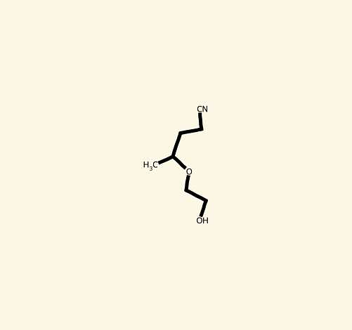 CC(CCC#N)OCCO